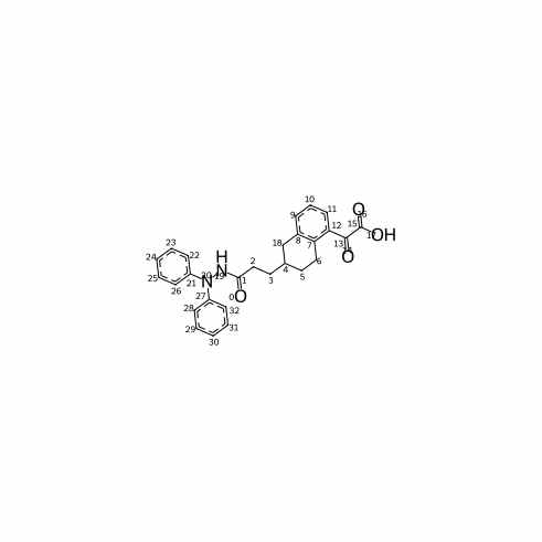 O=C(CCC1CCc2c(cccc2C(=O)C(=O)O)C1)NN(c1ccccc1)c1ccccc1